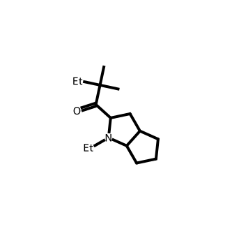 CCN1C(C(=O)C(C)(C)CC)CC2CCCC21